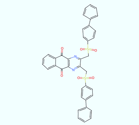 O=C1c2ccccc2C(=O)c2nc(CS(=O)(=O)c3ccc(-c4ccccc4)cc3)c(CS(=O)(=O)c3ccc(-c4ccccc4)cc3)nc21